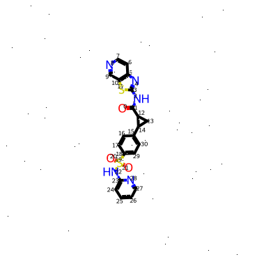 O=C(Nc1nc2ccncc2s1)C1CC1c1ccc(S(=O)(=O)Nc2ccccn2)cc1